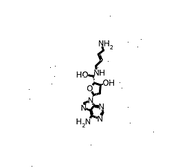 NCC=CCNC(O)[C@H]1O[C@@H](n2cnc3c(N)ncnc32)C[C@@H]1O